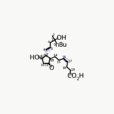 CCCCC(C)(O)C/C=C/[C@H]1[C@H](O)CC(=O)[C@@H]1CC/C=C\CCC(=O)O